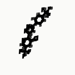 FC(F)(F)c1ccc(-n2cc(-c3ncc(C(F)(F)F)cc3Cl)nn2)cc1